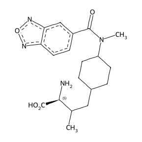 CC(CC1CCC(N(C)C(=O)c2ccc3nonc3c2)CC1)[C@H](N)C(=O)O